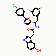 O=C(Cc1c[nH]c2ccc(O)cc12)NC(Cc1cc(F)cc(F)c1)c1cnc(-c2ccc(Cl)cc2)o1